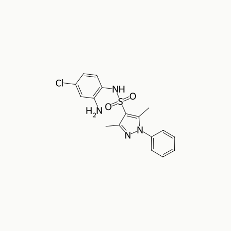 Cc1nn(-c2ccccc2)c(C)c1S(=O)(=O)Nc1ccc(Cl)cc1N